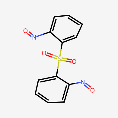 O=Nc1ccccc1S(=O)(=O)c1ccccc1N=O